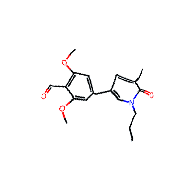 CCCn1cc(-c2cc(OC)c(C=O)c(OC)c2)cc(C)c1=O